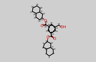 O=C(OC1CCC2CCCCC2C1)c1cc(CO)cc(C(=O)OC2CCC3CCCCC3C2)c1